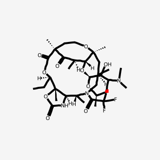 CC[C@H]1OC(=O)[C@@]2(C)CCO[C@@](C)(C[C@@H](C)CN(C(=O)C(F)(F)F)[C@H](C)[C@H]3NC(=O)O[C@@]31C)[C@H](O[C@@H]1O[C@H](C)CC(N(C)C)C1O)[C@@H](C)C2=O